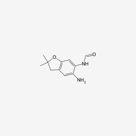 CC1(C)Cc2cc(N)c(NC=O)cc2O1